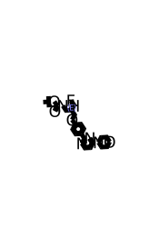 CC(C)(C)OC(=O)NC/C(=C\F)COc1ccc(-c2nccc(N3CCOCC3)n2)cc1